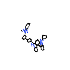 CCn1c(-c2cccc(-c3ccc(-c4nc5ccccc5c5c4ccc4c5c5ccccc5n4-c4ccccc4)cc3)c2)nc2ccccc21